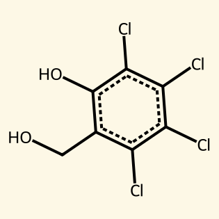 OCc1c(O)c(Cl)c(Cl)c(Cl)c1Cl